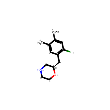 COc1cc(F)c(C[C@@H]2CNCCO2)cc1C